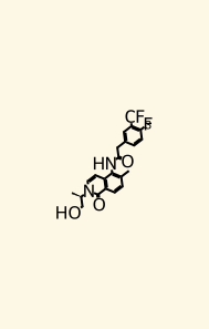 Cc1ccc2c(=O)n([C@H](C)CO)ccc2c1NC(=O)Cc1ccc(F)c(C(F)(F)F)c1